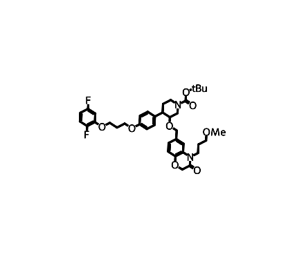 COCCCN1C(=O)COc2ccc(COC3CN(C(=O)OC(C)(C)C)CCC3c3ccc(OCCCOc4cc(F)ccc4F)cc3)cc21